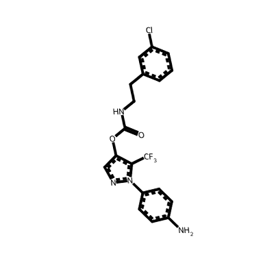 Nc1ccc(-n2ncc(OC(=O)NCCc3cccc(Cl)c3)c2C(F)(F)F)cc1